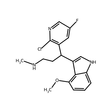 CNCCC(c1cc(F)cnc1Cl)c1c[nH]c2cccc(OC)c12